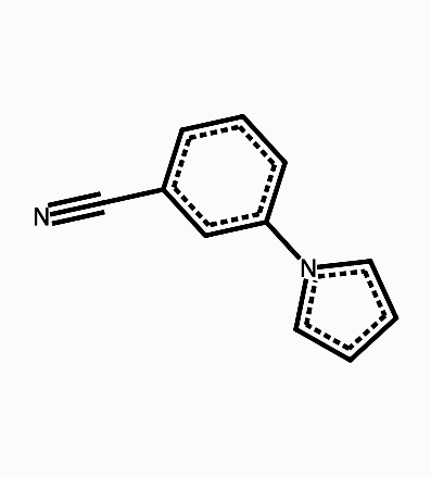 N#Cc1cccc(-n2cccc2)c1